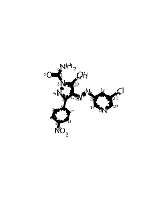 NC(=O)n1nc(-c2ccc([N+](=O)[O-])cc2)c(/N=N/c2cncc(Cl)c2)c1O